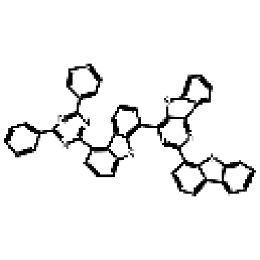 c1ccc(-c2nc(-c3ccccc3)nc(-c3cccc4sc5c(-c6nc(-c7cccc8c7sc7ccccc78)nc7c6sc6ccccc67)cccc5c34)n2)cc1